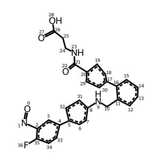 O=Nc1cc(-c2ccc(NCc3ccccc3-c3ccc(C(=O)NCCC(=O)O)cc3)cc2)ccc1F